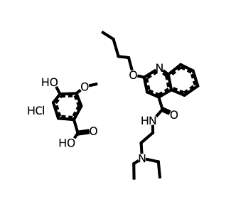 CCCCOc1cc(C(=O)NCCN(CC)CC)c2ccccc2n1.COc1cc(C(=O)O)ccc1O.Cl